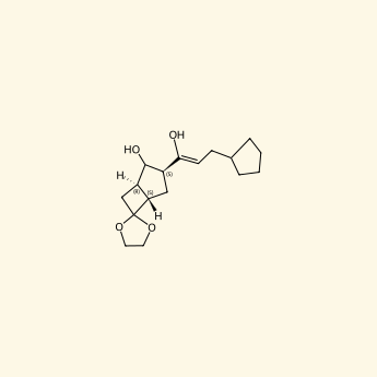 OC(=CCC1CCCC1)[C@H]1C[C@H]2[C@@H](CC23OCCO3)C1O